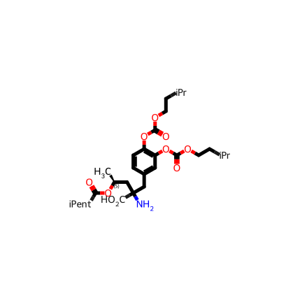 CCCC(C)C(=O)O[C@@H](C)CC(N)(Cc1ccc(OC(=O)OCCC(C)C)c(OC(=O)OCCC(C)C)c1)C(=O)O